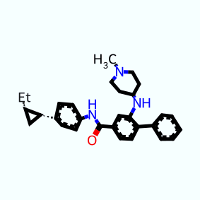 CC[C@H]1C[C@H]1c1ccc(NC(=O)c2ccc(-c3ccccc3)c(NC3CCN(C)CC3)c2)cc1